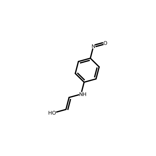 O=Nc1ccc(NC=CO)cc1